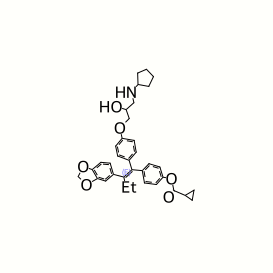 CC/C(=C(/c1ccc(OCC(O)CNC2CCCC2)cc1)c1ccc(OC(=O)C2CC2)cc1)c1ccc2c(c1)OCO2